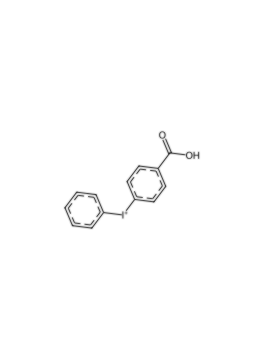 O=C(O)c1ccc([I+]c2ccccc2)cc1